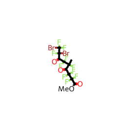 COC(=O)C(F)(F)C(F)(F)C(=O)C(C)(F)C(F)(F)C(=O)C(F)(Br)C(F)(F)Br